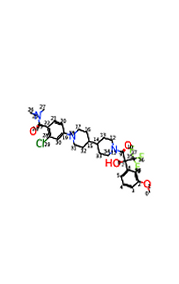 COc1cccc(C(O)(C(=O)N2CCC(C3CCN(c4ccc(C(=O)N(C)C)c(Cl)c4)CC3)CC2)C(F)(F)F)c1